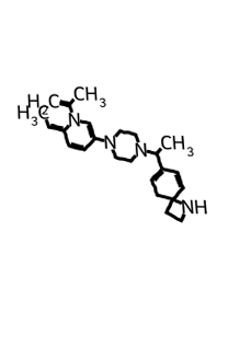 C=C(C)N1C=C(N2CCN(C(C)C3=CCC4(C=C3)CCN4)CC2)C=C/C1=C/C